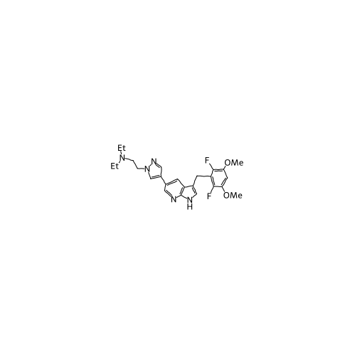 CCN(CC)CCn1cc(-c2cnc3[nH]cc(Cc4c(F)c(OC)cc(OC)c4F)c3c2)cn1